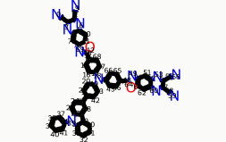 N#Cc1nc2c(nc1C#N)=CC1OC(c3ccc(N(c4ccc(-c5ccc6c(c5)c5ccccc5n6-c5ccccc5)cc4)c4ccc(-c5nc6cc7nc(C#N)c(C#N)nc7cc6o5)cc4)cc3)=NC1C=2